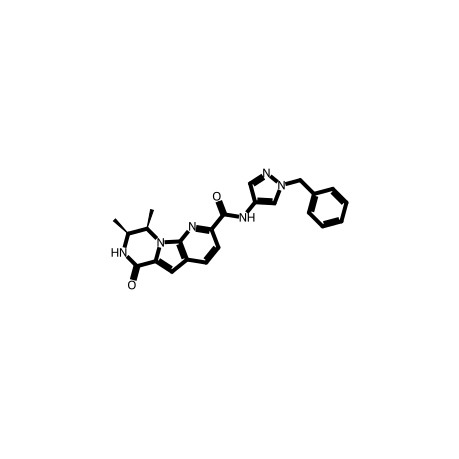 C[C@@H]1NC(=O)c2cc3ccc(C(=O)Nc4cnn(Cc5ccccc5)c4)nc3n2[C@@H]1C